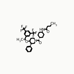 CCCC(=O)N[C@H]1CC[C@H](C(=O)N2CC[C@H](O[C@H](C)c3cc(C(F)(F)F)cc(C(F)(F)F)c3)[C@H](c3ccccc3)C2)CC1